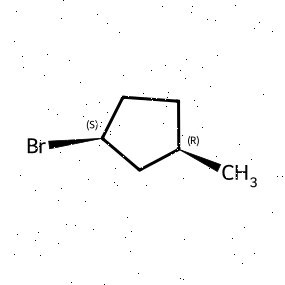 C[C@@H]1CC[C@H](Br)C1